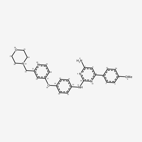 COc1ccc(-c2cc(N)nc(Nc3ccc(Oc4ccnc(CN5CCOCC5)c4)cc3)n2)cc1